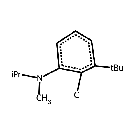 CC(C)N(C)c1cccc(C(C)(C)C)c1Cl